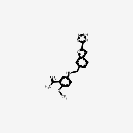 C=C(C)c1cc(NCc2ccc3cc(-c4nn[nH]n4)oc3c2)ccc1OC(F)(F)F